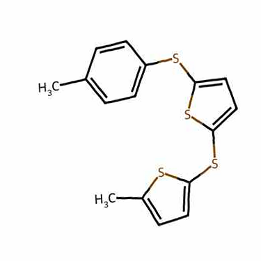 Cc1ccc(Sc2ccc(Sc3ccc(C)s3)s2)cc1